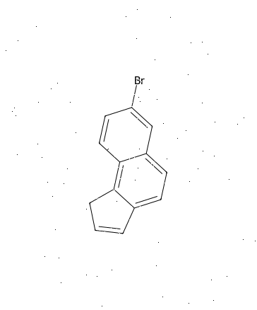 Brc1ccc2c3c(ccc2c1)C=CC3